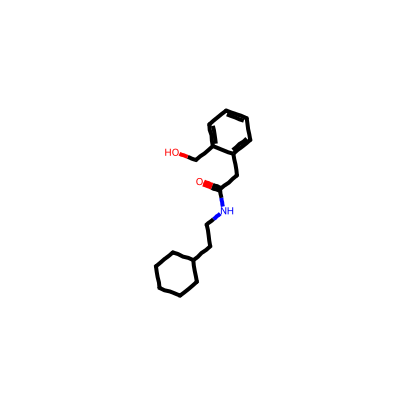 O=C(Cc1ccccc1CO)NCCC1CCCCC1